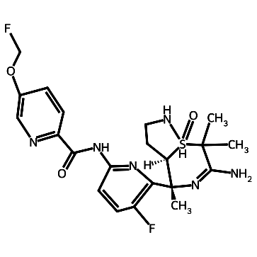 CC1(C)C(N)=N[C@](C)(c2nc(NC(=O)c3ccc(OCF)cn3)ccc2F)[C@H]2CCN[SH]21=O